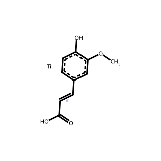 COc1cc(/C=C/C(=O)O)ccc1O.[Ti]